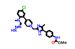 COC(=O)Nc1ccc(-c2[nH]c(CN3C=CC(c4cc(Cl)ccc4N(C)/C=N\N=N)=CC3)nc2C)cc1